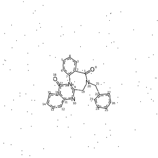 O=C1c2ccccc2-n2c(nc3ccccc3c2=O)CN1Cc1ccccc1